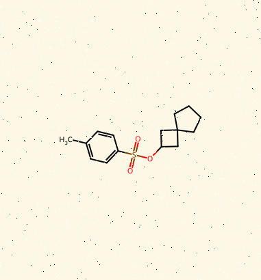 Cc1ccc(S(=O)(=O)OC2CC3(CCCC3)C2)cc1